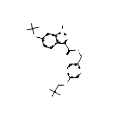 C[C@@H](NC(=O)c1nn(C)c2cc(OC(F)(F)F)ccc12)c1cnc(OCC(F)(F)F)cn1